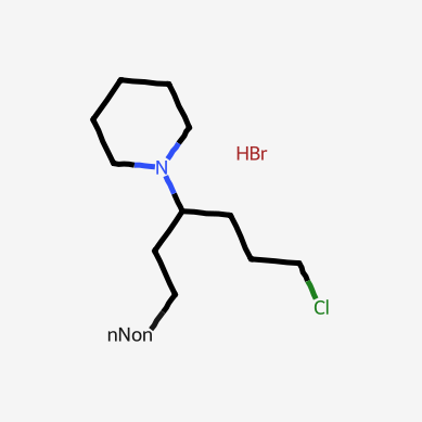 Br.CCCCCCCCCCCC(CCCCl)N1CCCCC1